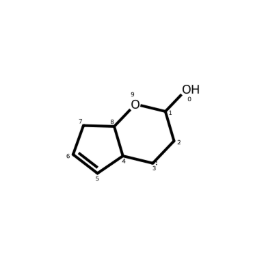 OC1C[C]C2C=CCC2O1